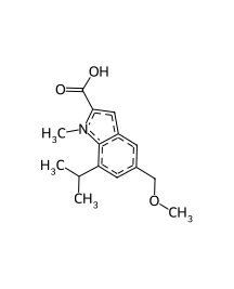 COCc1cc(C(C)C)c2c(c1)cc(C(=O)O)n2C